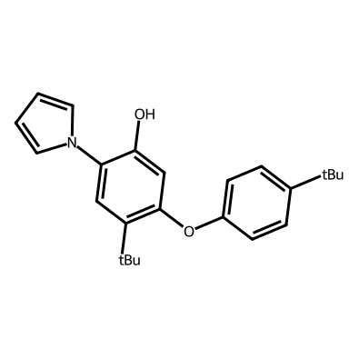 CC(C)(C)c1ccc(Oc2cc(O)c(-n3cccc3)cc2C(C)(C)C)cc1